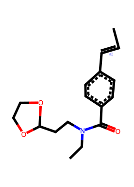 C/C=C/c1ccc(C(=O)N(CC)CCC2OCCO2)cc1